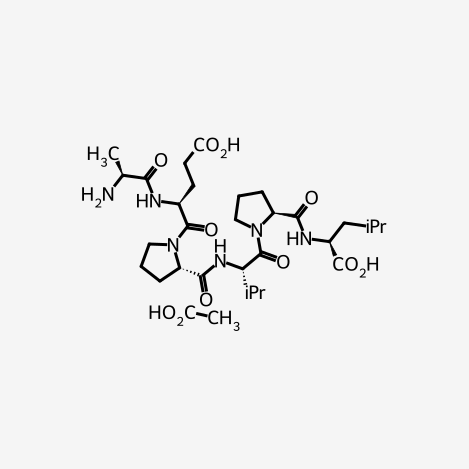 CC(=O)O.CC(C)C[C@H](NC(=O)[C@@H]1CCCN1C(=O)[C@@H](NC(=O)[C@@H]1CCCN1C(=O)[C@H](CCC(=O)O)NC(=O)[C@H](C)N)C(C)C)C(=O)O